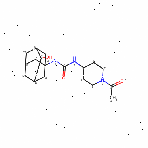 CC(=O)N1CCC(NC(=O)NC23CC4CC(C2)C(O)C(C4)C3)CC1